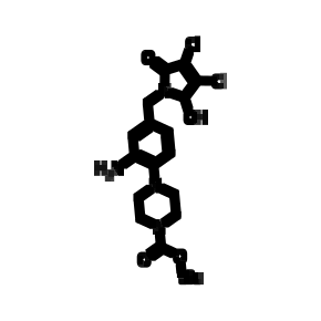 CC(C)(C)OC(=O)N1CCN(c2ccc(CN3C(=O)C(Cl)=C(Cl)C3O)cc2N)CC1